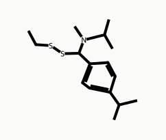 CCSSC(c1ccc(C(C)C)cc1)N(C)C(C)C